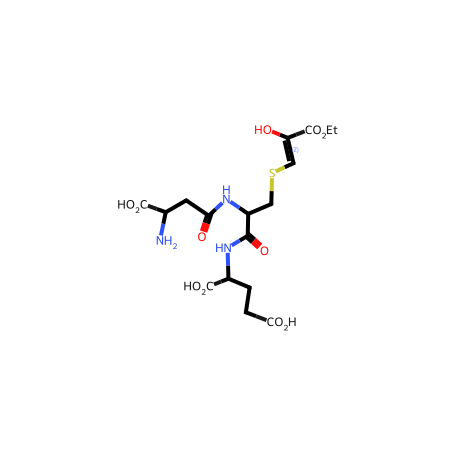 CCOC(=O)/C(O)=C/SCC(NC(=O)CC(N)C(=O)O)C(=O)NC(CCC(=O)O)C(=O)O